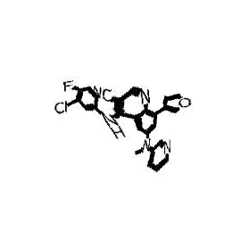 CN(c1cccnc1)c1cc(-c2ccoc2)c2ncc(C#N)c(Nc3ccc(F)c(Cl)c3)c2c1